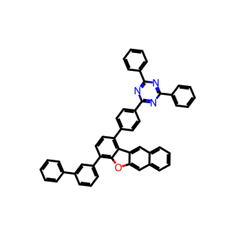 c1ccc(-c2cccc(-c3ccc(-c4ccc(-c5nc(-c6ccccc6)nc(-c6ccccc6)n5)cc4)c4c3oc3cc5ccccc5cc34)c2)cc1